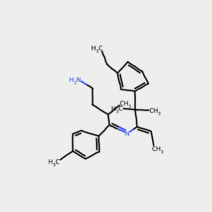 C/C=C(\N=C(\c1ccc(C)cc1)C(C)CCN)C(C)(C)c1cccc(CC)c1